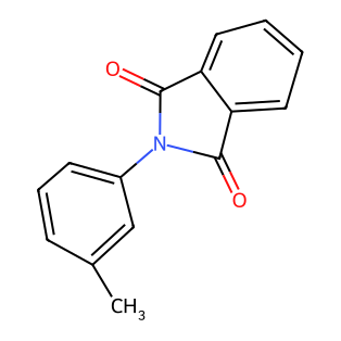 Cc1cccc(N2C(=O)c3ccccc3C2=O)c1